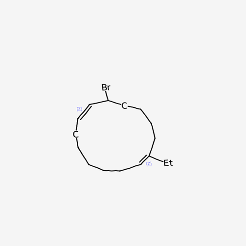 CC/C1=C/CCCCC/C=C\C(Br)CCCC1